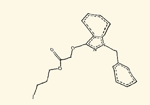 O=C(COc1nn(Cc2ccccc2)c2ccccc12)OCCCI